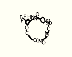 Cc1cc2ccc1CCS(=O)(=O)N1CCC3(CC1)N=C(NC3=O)c1cc(cc(C(F)(F)F)c1)OCCC=CCCCN(C)C2=O